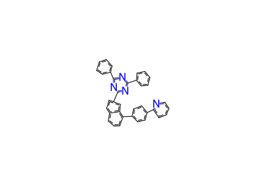 c1ccc(-c2nc(-c3ccccc3)nc(-c3ccc4cccc(-c5ccc(-c6ccccn6)cc5)c4c3)n2)cc1